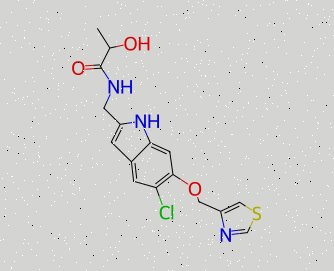 CC(O)C(=O)NCc1cc2cc(Cl)c(OCc3cscn3)cc2[nH]1